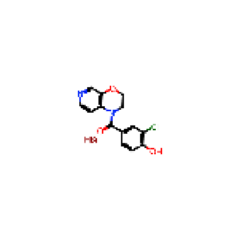 Br.O=C(c1ccc(O)c(Cl)c1)N1CCOc2cnccc21